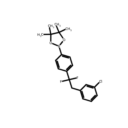 CC1(C)OB(c2ccc(C(F)(F)Cc3cccc(Cl)c3)cc2)OC1(C)C